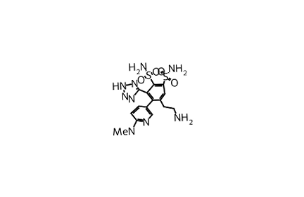 CNc1ccc(-c2c(CCN)cc(S(N)(=O)=O)c(S(N)(=O)=O)c2-c2nn[nH]n2)cn1